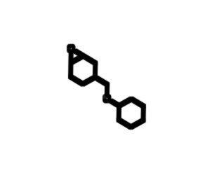 C1CCC(OCC2CCC3OC3C2)CC1